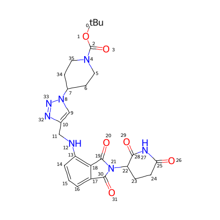 CC(C)(C)OC(=O)N1CCC(n2cc(CNc3cccc4c3C(=O)N(C3CCC(=O)NC3=O)C4=O)nn2)CC1